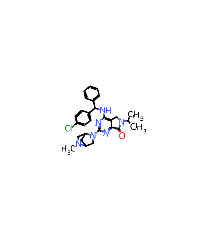 CC(C)N1Cc2c(NC(c3ccccc3)c3ccc(Cl)cc3)nc(N3CC4CC3CN4C)nc2C1=O